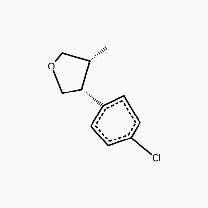 C[C@H]1COC[C@H]1c1ccc(Cl)cc1